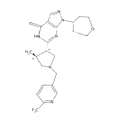 C[C@@H]1CN(Cc2ccc(C(F)(F)F)nc2)C[C@H]1c1nc2c(cnn2C2CCOCC2)c(=O)[nH]1